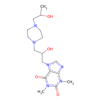 CC(O)CN1CCN(CC(O)Cn2cnc3c2c(=O)n(C)c(=O)n3C)CC1